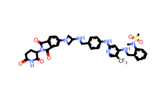 CN(c1ccccc1CNc1cc(Nc2ccc(CNC3CN(c4ccc5c(c4)C(=O)N(C4CCC(=O)NC4=O)C5=O)C3)cc2)ncc1C(F)(F)F)S(C)(=O)=O